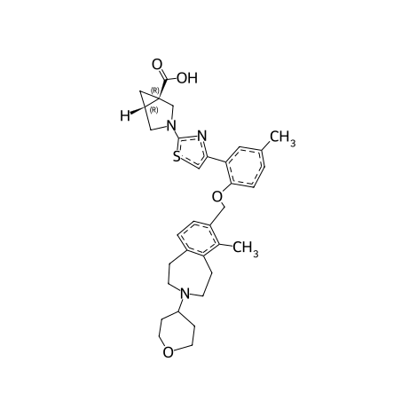 Cc1ccc(OCc2ccc3c(c2C)CCN(C2CCOCC2)CC3)c(-c2csc(N3C[C@@H]4C[C@]4(C(=O)O)C3)n2)c1